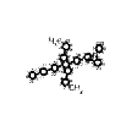 Cc1cccc(-c2ccc3c(-c4ccc(-c5ccc6c(c5)c5ccccc5n6-c5ccccc5)cc4)c4cc(-c5cccc(C)c5)ccc4c(-c4ccc(-c5ccc(-c6ccccc6)cc5)cc4)c3c2)c1